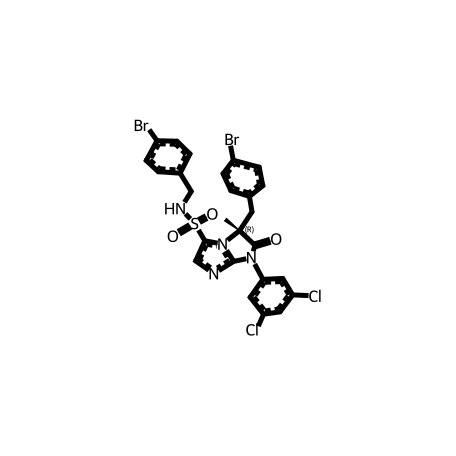 C[C@@]1(Cc2ccc(Br)cc2)C(=O)N(c2cc(Cl)cc(Cl)c2)c2ncc(S(=O)(=O)NCc3ccc(Br)cc3)n21